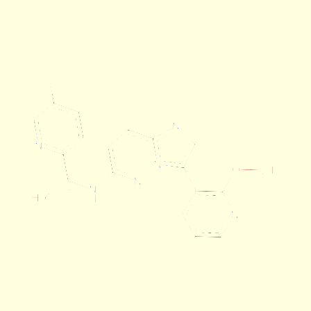 COc1ncccc1-c1cnc2ccc(N[C@H](C)c3ccc(F)cn3)nn12